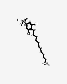 CCCCCCCCCCCCc1c(Cl)cc(S(=O)(=O)O)cc1Cl